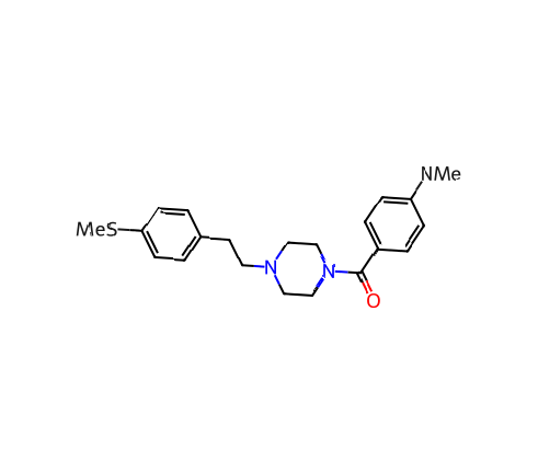 CNc1ccc(C(=O)N2CCN(CCc3ccc(SC)cc3)CC2)cc1